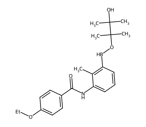 CCOc1ccc(C(=O)Nc2cccc(BOC(C)(C)C(C)(C)O)c2C)cc1